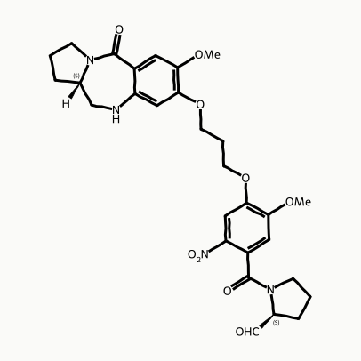 COc1cc2c(cc1OCCCOc1cc([N+](=O)[O-])c(C(=O)N3CCC[C@H]3C=O)cc1OC)NC[C@@H]1CCCN1C2=O